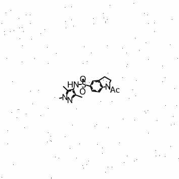 CC(=O)N1CCc2cc(S(=O)(=O)Nc3c(C)nn(C)c3C)ccc21